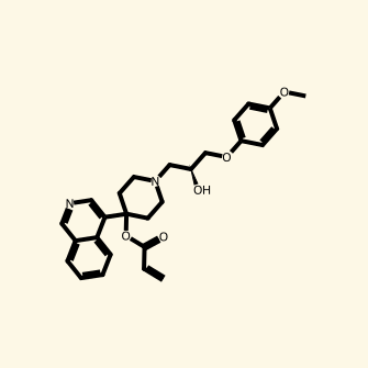 C=CC(=O)OC1(c2cncc3ccccc23)CCN(C[C@H](O)COc2ccc(OC)cc2)CC1